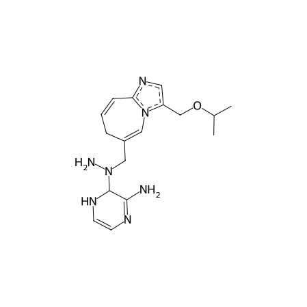 CC(C)OCc1cnc2n1C=C(CN(N)C1NC=CN=C1N)CC=C2